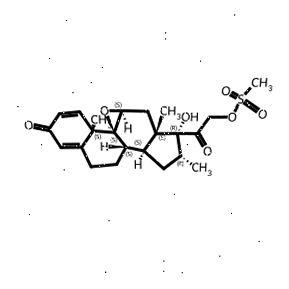 C[C@@H]1C[C@H]2[C@@H]3CCC4=CC(=O)C=C[C@]4(C)[C@@]34O[C@H]4C[C@]2(C)[C@@]1(O)C(=O)COS(C)(=O)=O